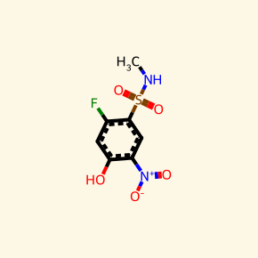 CNS(=O)(=O)c1cc([N+](=O)[O-])c(O)cc1F